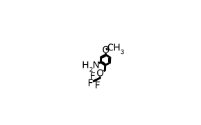 COc1ccc(COCC(F)(F)F)c(N)c1